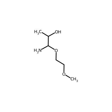 COCCOC(N)C(C)O